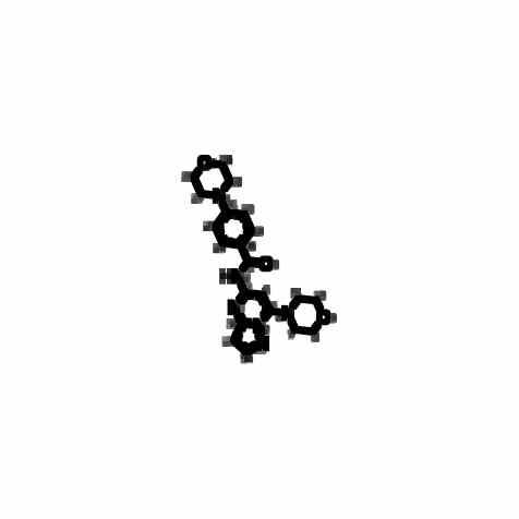 O=C(Nc1cc(N2CCOCC2)n2nccc2n1)c1ccc(N2CCOCC2)cc1